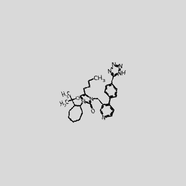 CCCCc1cn(C2CCCCCC2C(C)(C)C)c(=O)n1Cc1cnccc1-c1ccc(-c2nnn[nH]2)cc1